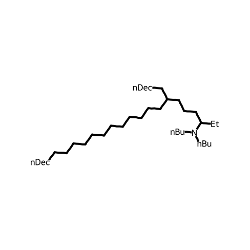 [CH2]CC(CCCC(CCCCCCCCCCC)CCCCCCCCCCCCCCCCCCCCCC)N(CCCC)CCCC